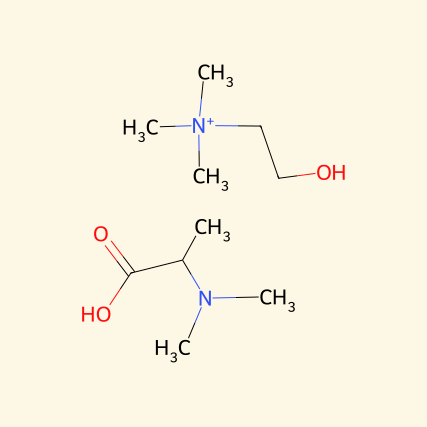 CC(C(=O)O)N(C)C.C[N+](C)(C)CCO